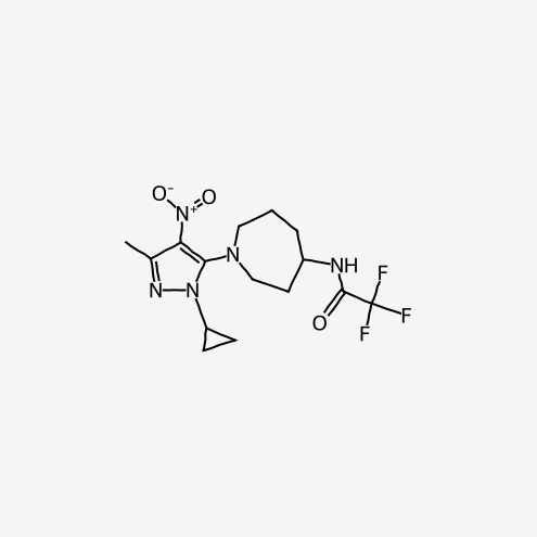 Cc1nn(C2CC2)c(N2CCCC(NC(=O)C(F)(F)F)CC2)c1[N+](=O)[O-]